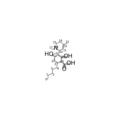 CCCCCc1cc(O)c(C2C=C(C)CCN2C)c(O)c1C(=O)O